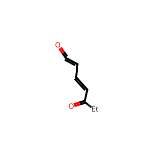 CCC(=O)C=CC=C=O